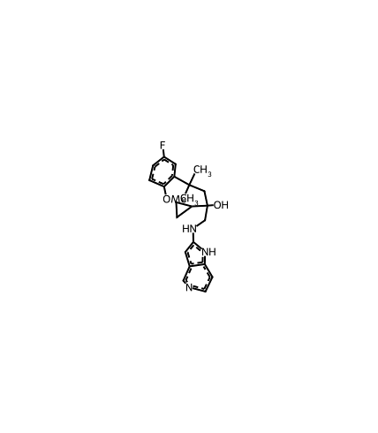 COc1ccc(F)cc1C(C)(C)CC(O)(CNc1cc2cnccc2[nH]1)C1CC1